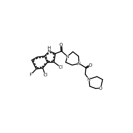 O=C(CN1CCOCC1)N1CCN(C(=O)c2[nH]c3ccc(F)c(Cl)c3c2Cl)CC1